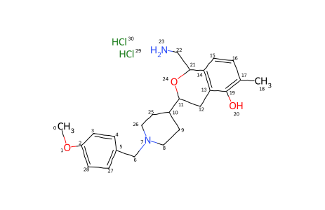 COc1ccc(CN2CCC(C3Cc4c(ccc(C)c4O)C(CN)O3)CC2)cc1.Cl.Cl